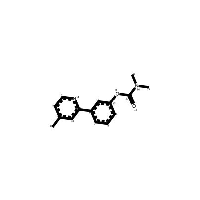 Cc1ccnc(-c2cccc(OC(=O)N(C)C)c2)c1